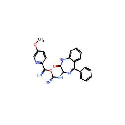 COc1ccc(C(=N)OC(=N)NC2N=C(c3ccccc3)c3ccccc3NC2=O)nc1